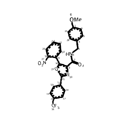 COc1ccc(CNC(=O)c2nc(-c3ccc(C(F)(F)F)cc3)oc2-c2ccccc2[N+](=O)[O-])cc1